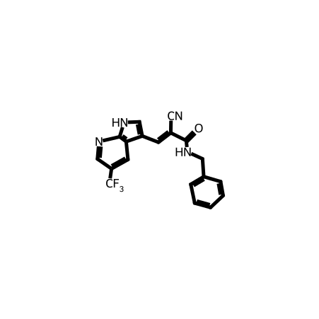 N#C/C(=C\c1c[nH]c2ncc(C(F)(F)F)cc12)C(=O)NCc1ccccc1